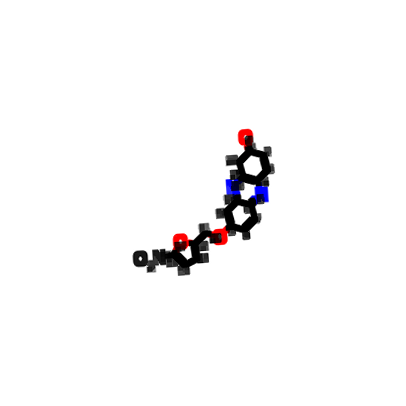 O=C1C=Cc2nc3ccc(OCc4ccc([N+](=O)[O-])o4)cc3nc2C1